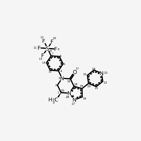 C[C@H]1CN(c2ccc(S(F)(F)(F)(F)F)cc2)C(=O)c2c(-c3ccncc3)cnn21